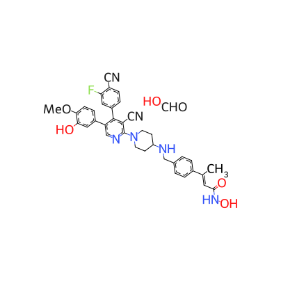 COc1ccc(-c2cnc(N3CCC(NCc4ccc(/C(C)=C/C(=O)NO)cc4)CC3)c(C#N)c2-c2ccc(C#N)c(F)c2)cc1O.O=CO